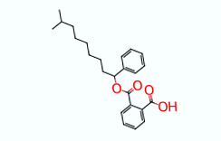 CC(C)CCCCCCC(OC(=O)c1ccccc1C(=O)O)c1ccccc1